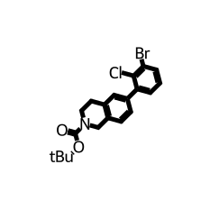 CC(C)(C)OC(=O)N1CCc2cc(-c3cccc(Br)c3Cl)ccc2C1